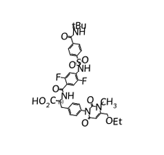 CCOCc1cc(=O)n(-c2ccc(C[C@H](NC(=O)c3cc(F)c(NS(=O)(=O)c4ccc(C(=O)NC(C)(C)C)cc4)cc3F)C(=O)O)cc2)c(=O)n1C